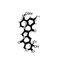 CC[C@@]1(O)C(=O)OCc2c1cc1n(c2=O)Cc2c-1c(=O)c1cc(F)cc3c1n2CC/C3=N/OC